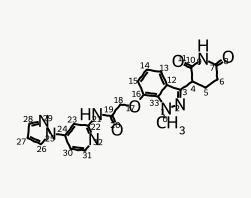 Cn1nc(C2CCC(=O)NC2=O)c2cccc(OCC(=O)Nc3cc(-n4cccn4)ccn3)c21